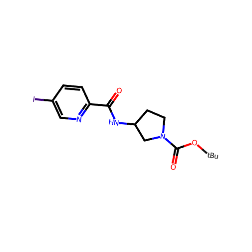 CC(C)(C)OC(=O)N1CCC(NC(=O)c2ccc(I)cn2)C1